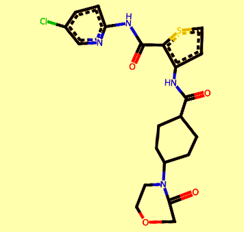 O=C(Nc1ccc(Cl)cn1)c1sccc1NC(=O)C1CCC(N2CCOCC2=O)CC1